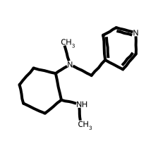 CNC1CCCCC1N(C)Cc1ccncc1